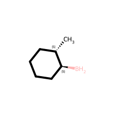 B[C@H]1CCCC[C@@H]1C